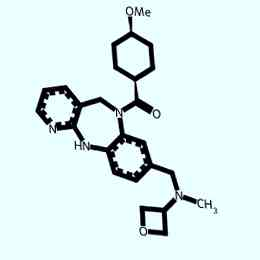 CO[C@H]1CC[C@@H](C(=O)N2Cc3cccnc3Nc3ccc(CN(C)C4COC4)cc32)CC1